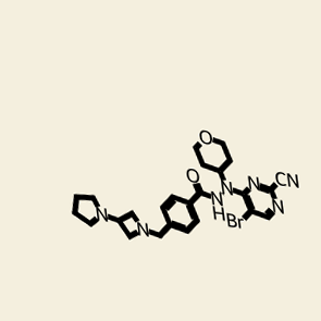 N#Cc1ncc(Br)c(N(NC(=O)c2ccc(CN3CC(N4CCCC4)C3)cc2)C2CCOCC2)n1